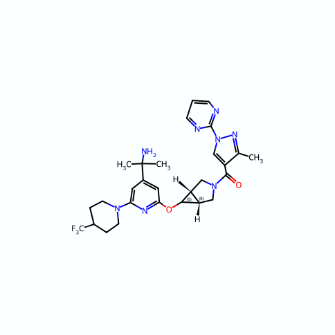 Cc1nn(-c2ncccn2)cc1C(=O)N1C[C@@H]2C(Oc3cc(C(C)(C)N)cc(N4CCC(C(F)(F)F)CC4)n3)[C@@H]2C1